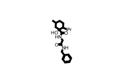 CC1CCC(C(C)C)C(O)(C(=O)NCC(=O)NCc2ccccc2)C1